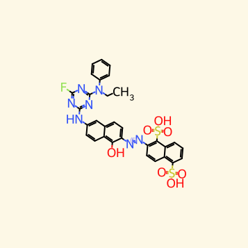 CCN(c1ccccc1)c1nc(F)nc(Nc2ccc3c(O)c(/N=N/c4ccc5c(S(=O)(=O)O)cccc5c4S(=O)(=O)O)ccc3c2)n1